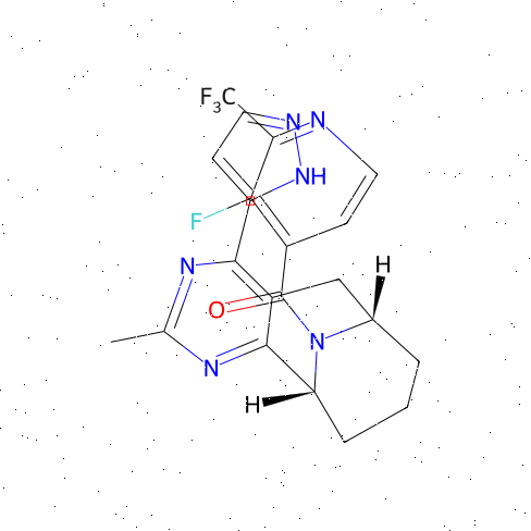 Cc1nc(-c2ccn[nH]2)c2c(n1)[C@H]1CCC[C@@H](C2)N1C(=O)c1ccnc(C(F)(F)F)c1F